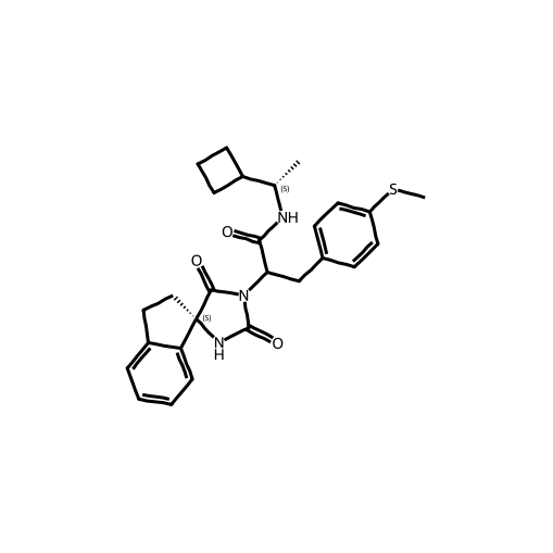 CSc1ccc(CC(C(=O)N[C@@H](C)C2CCC2)N2C(=O)N[C@]3(CCc4ccccc43)C2=O)cc1